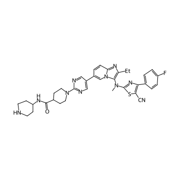 CCc1nc2ccc(-c3cnc(N4CCC(C(=O)NC5CCNCC5)CC4)nc3)cn2c1N(C)c1nc(-c2ccc(F)cc2)c(C#N)s1